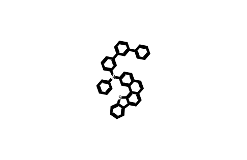 c1ccc(-c2cccc(-c3cccc(N(c4ccccc4)c4ccc5ccc6ccc7c8ccccc8sc7c6c5c4)c3)c2)cc1